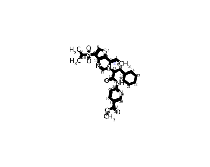 C/C=C1/c2scc(S(=O)(=O)C(C)C)c2N=CN1C(CC1CCCCC1)C(=O)Nc1ccc(C(=O)OC)cn1